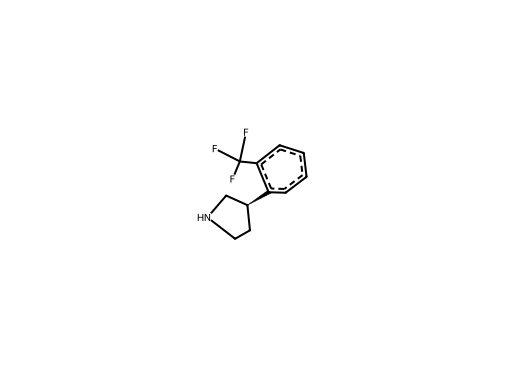 FC(F)(F)c1ccccc1[C@H]1CCNC1